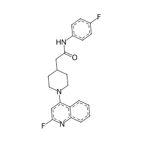 O=C(CC1CCN(c2cc(F)nc3ccccc23)CC1)Nc1ccc(F)cc1